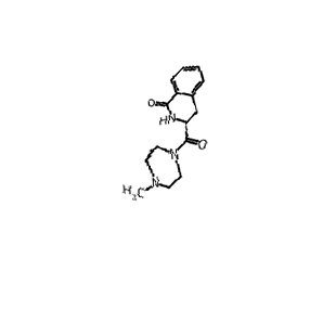 CN1CCN(C(=O)[C@@H]2Cc3ccccc3C(=O)N2)CC1